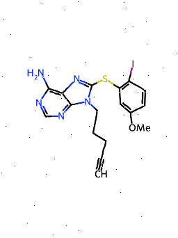 C#CCCCn1c(Sc2cc(OC)ccc2I)nc2c(N)ncnc21